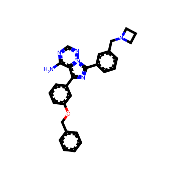 Nc1ncnn2c(-c3cccc(CN4CCC4)c3)nc(-c3cccc(OCc4ccccc4)c3)c12